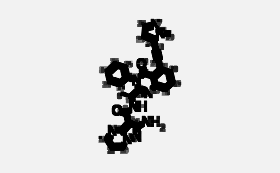 C[C@H](NC(=O)c1c(N)nn2cccnc12)c1nc2cccc(C#Cc3ccnn3C)c2c(=O)n1-c1ccccc1